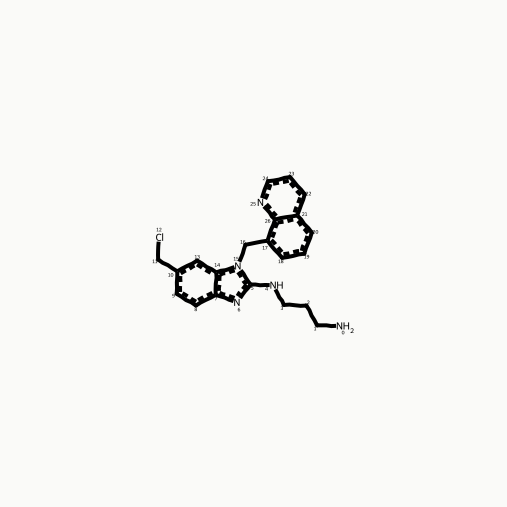 NCCCNc1nc2ccc(CCl)cc2n1Cc1cccc2cccnc12